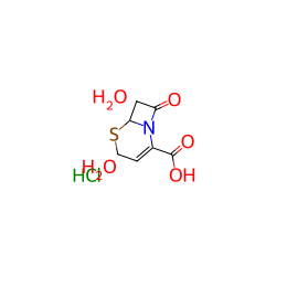 Cl.O.O.O=C(O)C1=CCSC2CC(=O)N12